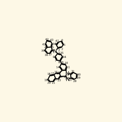 c1ccc(N(c2ccc(-c3ccc4c(c3)c3cc5ccccc5cc3c3nc5ccccc5n43)cc2)c2cccc3ccccc23)cc1